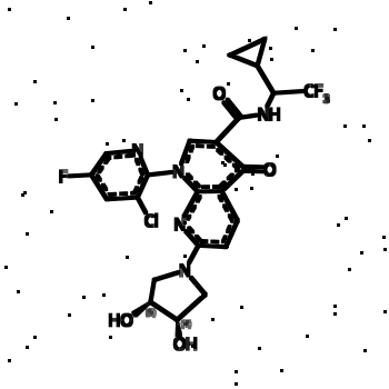 O=C(NC(C1CC1)C(F)(F)F)c1cn(-c2ncc(F)cc2Cl)c2nc(N3C[C@@H](O)[C@@H](O)C3)ccc2c1=O